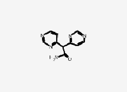 NC(=O)C(c1ccncn1)c1ccncn1